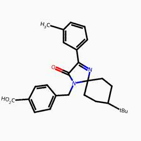 Cc1cccc(C2=NC3(CCC(C(C)(C)C)CC3)N(Cc3ccc(C(=O)O)cc3)C2=O)c1